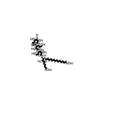 CCCCCCCCCCCCC/C=C/[C@@H](O)[C@H](CO[C@@H]1OC(CO)[C@@H](O[C@@H]2OC(CO)[C@H](O[C@@H]3OC(CO)[C@H](O)[C@H](O)C3O)[C@H](O)C2O)[C@H](O)C1O)NC(=O)CCCCCCCCCCCCCCCCCCCCCCC